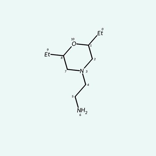 CCC1CN(CCN)CC(CC)O1